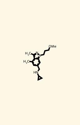 COCCCn1nc(C)c2c(C)cc(CNC3CC3)cc21